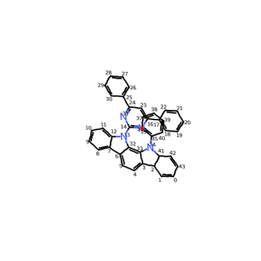 C1=CC2c3ccc4c5ccccc5n(-c5nc(-c6ccccc6)cc(-c6ccccc6)n5)c4c3N(c3ccccc3)C2C=C1